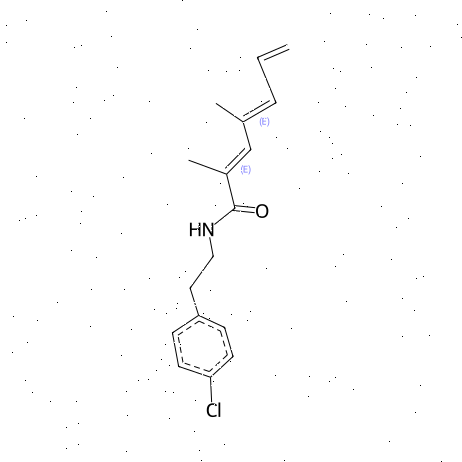 C=C/C=C(C)/C=C(\C)C(=O)NCCc1ccc(Cl)cc1